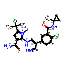 Cn1c(C(F)(C(F)(F)F)C(F)(F)F)cc(C(N)=S)c1N/C=C(\C=N)c1ccc(Cl)c(C(=O)NC2(C#N)CC2)c1